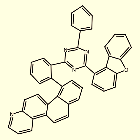 c1ccc(-c2nc(-c3ccccc3-c3cccc4ccc5c6cccnc6ccc5c34)nc(-c3cccc4oc5ccccc5c34)n2)cc1